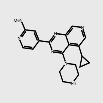 CNc1cc(-c2nc(N3CCNCC3)c3c(C4CC4)cncc3n2)ccn1